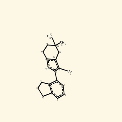 CC(=O)c1c(-c2cccc3c2CCC3)sc2c1CC(C)(C)CC2